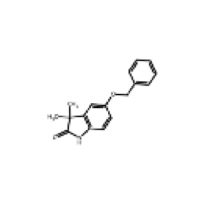 CC1(C)C(=O)Nc2ccc(OCc3ccccc3)cc21